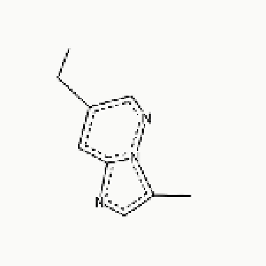 CCc1cnn2c(C)cnc2c1